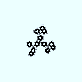 c1ccc(N(c2ccc(N(c3ccc(N(c4ccccc4)c4cccc5ccccc45)cc3)c3ccc(N(c4ccccc4)c4cccc5ccccc45)cc3)cc2)c2ccc3ccccc3c2)cc1